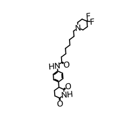 O=C1CCC(c2ccc(NC(=O)CCCCCCCN3CCC(F)(F)CC3)cc2)C(=O)N1